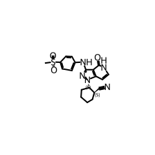 CS(=O)(=O)c1ccc(Nc2nn([C@H]3CCCC[C@@H]3C#N)c3cc[nH]c(=O)c23)cc1